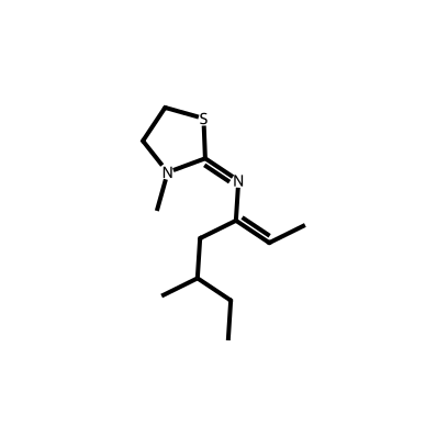 C/C=C(CC(C)CC)\N=C1\SCCN1C